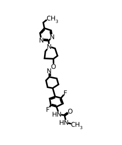 CCc1cnc(N2CCC(ON=C3CCC(c4cc(F)c(NC(=O)NC)cc4F)CC3)CC2)nc1